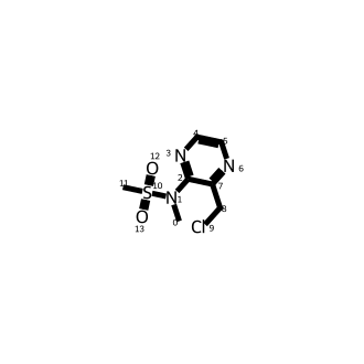 CN(c1nccnc1CCl)S(C)(=O)=O